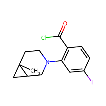 CC12CCN(c3cc(I)ccc3C(=O)Cl)CC1C2